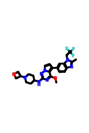 COc1nc(NC2CCN(C3COC3)CC2)nn2ccc(-c3ccc4nc(C)n(CC(F)(F)F)c4c3)c12